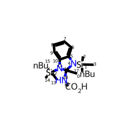 CCCC[Si](C)(C)N1c2ccccc2N([Si](C)(C)CCCC)C1(C)NC(=O)O